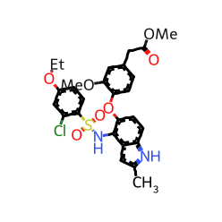 CCOc1ccc(S(=O)(=O)Nc2c(Oc3ccc(CC(=O)OC)cc3OC)ccc3[nH]c(C)cc23)c(Cl)c1